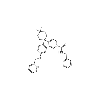 CC1(C)CCC(c2ccc(OCc3ccccn3)cc2)(c2ccc(C(=O)NCc3ccccc3)cc2)CC1